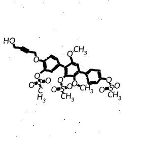 COc1cc(-c2ccc(OS(C)(=O)=O)cc2)c(OC)c(OS(C)(=O)=O)c1-c1ccc(OCC#CCO)c(OS(C)(=O)=O)c1